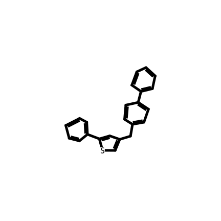 c1ccc(-c2ccc(Cc3csc(-c4ccccc4)c3)cc2)cc1